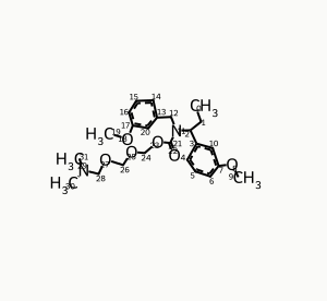 CCC(c1cccc(OC)c1)N(Cc1cccc(OC)c1)C(=O)OCOCOCN(C)C